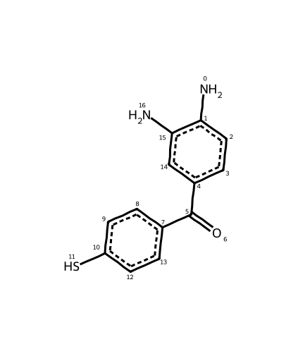 Nc1ccc(C(=O)c2ccc(S)cc2)cc1N